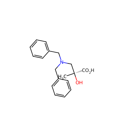 C[C@](O)(CN(Cc1ccccc1)Cc1ccccc1)C(=O)O